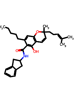 CCCCCc1cc2c(c(O)c1C(=O)NC1Cc3ccccc3C1)C=CC(C)(CCC=C(C)C)O2